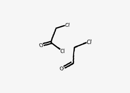 O=C(Cl)CCl.O=CCCl